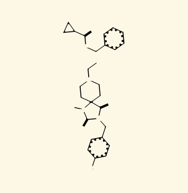 CN1C(=O)N(Cc2ccc(Br)cc2)C(=O)C12CCN(CC[C@H](NC(=O)C1CC1)c1ccccc1)CC2